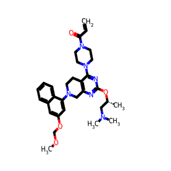 C=CC(=O)N1CCN(c2nc(O[C@H](C)CN(C)C)nc3c2CCN(c2cc(OCOC)cc4ccccc24)C3)CC1